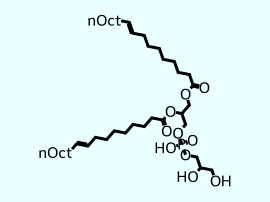 CCCCCCCCC=CCCCCCCCC(=O)OCC(COP(=O)(O)OCC(O)CO)OC(=O)CCCCCCCC=CCCCCCCCC